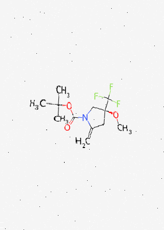 C=C1C[C@@](OC)(C(F)(F)F)CN1C(=O)OC(C)(C)C